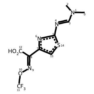 CN(C)C=Nc1nc(C(=NOC(F)(F)F)C(=O)O)cs1